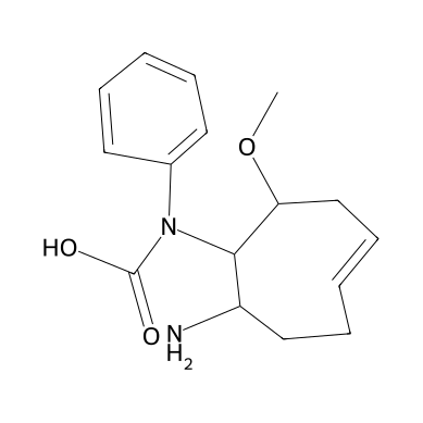 COC1C/C=C/CCC(N)C1N(C(=O)O)c1ccccc1